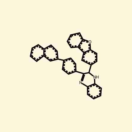 c1ccc2c(c1)N=C(c1ccc(-c3ccc4ccccc4c3)cc1)C(c1ccc3oc4ccccc4c3c1)N2